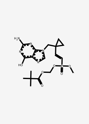 [CH2]OP(=O)(/C=C/C1(Cn2cnc3c(O)nc(N)nc32)CC1)OCOC(=O)C(C)(C)C